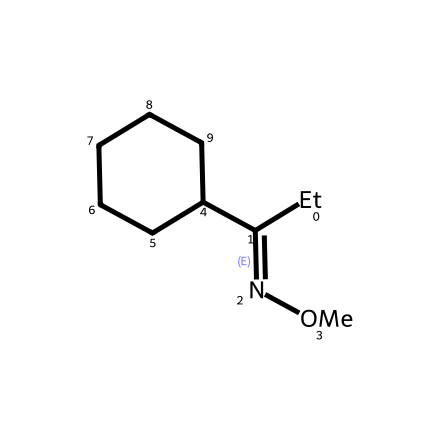 CC/C(=N\OC)C1CCCCC1